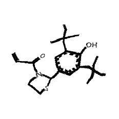 C=CC(=O)N1CCSC1c1cc(C(C)(C)C)c(O)c(C(C)(C)C)c1